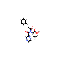 COC(=O)[C@H](CC(C)C)N(C(=O)CCc1ccccc1)C(=O)c1cnccn1